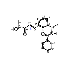 CC(NC(=O)c1ccccc1)c1cccc(/C=C/C(=O)NO)c1